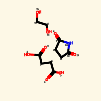 O=C(O)CCC(=O)O.O=C1CCC(=O)N1.OCCO